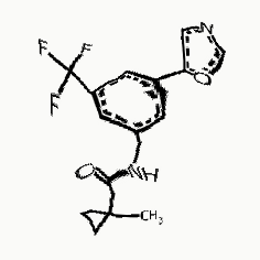 CC1(C(=O)Nc2cc(-c3cnco3)cc(C(F)(F)F)c2)CC1